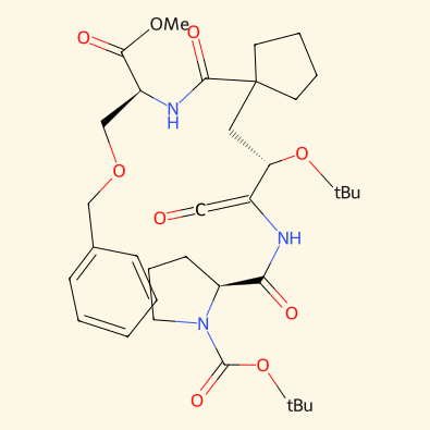 COC(=O)[C@H](COCc1ccccc1)NC(=O)C1(C[C@H](OC(C)(C)C)C(=C=O)NC(=O)[C@@H]2CCCN2C(=O)OC(C)(C)C)CCCC1